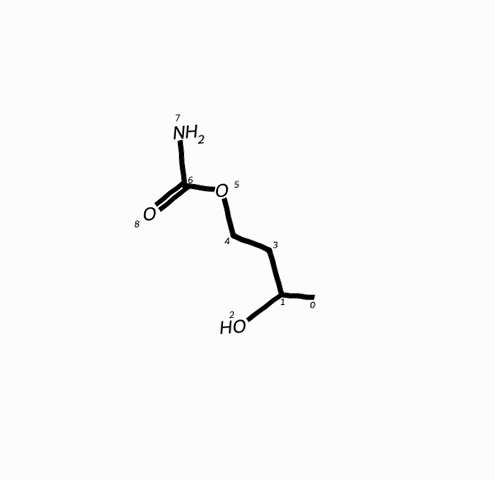 CC(O)CCOC(N)=O